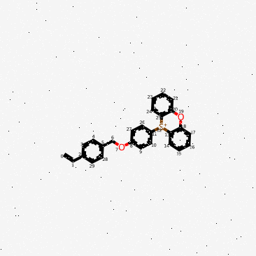 C=Cc1ccc(COc2ccc([S+]3c4ccccc4Oc4ccccc43)cc2)cc1